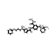 CCCNC(=O)c1cc(CN2CCOCC2(C)C)ccc1NC(=O)c1csc(N(C)CCCOc2ncccn2)n1